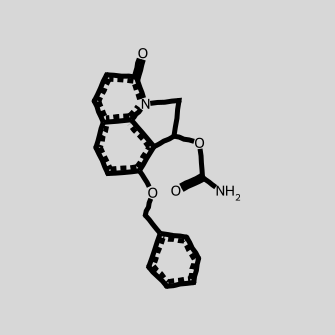 NC(=O)OC1Cn2c(=O)ccc3ccc(OCc4ccccc4)c1c32